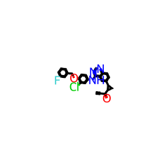 C#CC(=O)C1CC1c1ccc2ncnc(Nc3ccc(OCc4cccc(F)c4)c(Cl)c3)c2c1